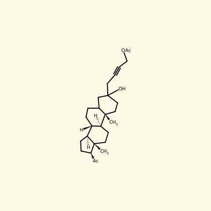 CC(=O)OCC#CCC1(O)CC[C@@]2(C)C(CC[C@H]3[C@@H]4CC[C@H](C(C)=O)[C@@]4(C)CC[C@@H]32)C1